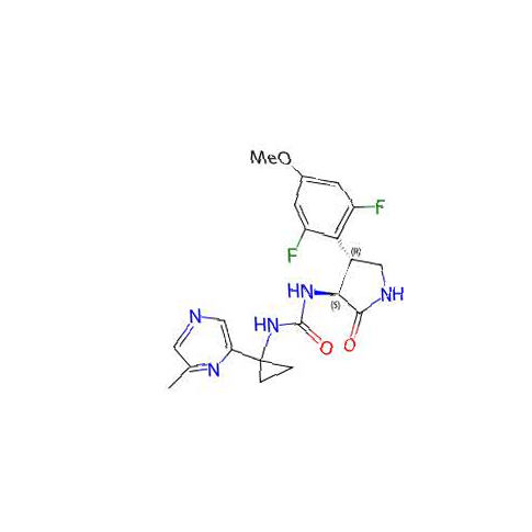 COc1cc(F)c([C@@H]2CNC(=O)[C@H]2NC(=O)NC2(c3cncc(C)n3)CC2)c(F)c1